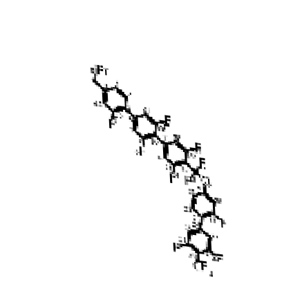 CC(C)Cc1ccc(-c2cc(F)c(-c3cc(F)c(C(F)(F)Oc4ccc(-c5cc(F)c(C(F)(F)F)c(F)c5)c(F)c4)c(F)c3)c(F)c2)c(F)c1